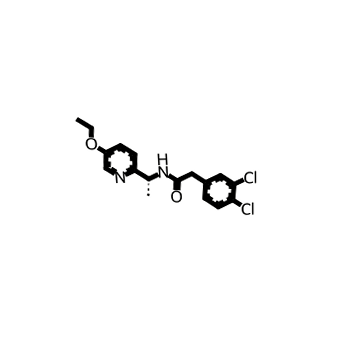 CCOc1ccc([C@@H](C)NC(=O)Cc2ccc(Cl)c(Cl)c2)nc1